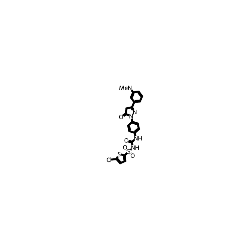 CNc1cccc(C2=NN(c3ccc(NC(=O)NS(=O)(=O)c4ccc(Cl)s4)cc3)C(=O)C2)c1